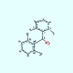 Cc1cccc(C)c1C([O])c1c(C)cccc1C